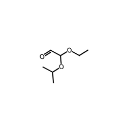 CCOC(C=O)OC(C)C